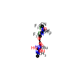 Cn1c(-c2ccccc2)cnc1C(O)C1C[C@@H](O)CN1C(=O)[C@@H](NC(=O)COCCCCOc1ccc(-c2ncc(N3C(=S)N(c4ccc(C#N)c(C(F)(F)F)c4F)C(=O)C3(C)C)cc2F)c(C(F)(F)F)c1)C(C)(C)C